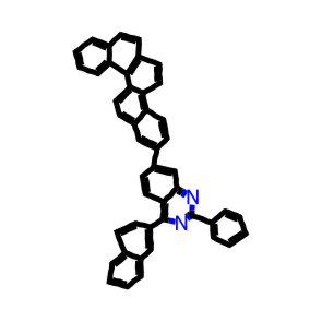 c1ccc(-c2nc(-c3ccc4ccccc4c3)c3ccc(-c4ccc5c(ccc6c5ccc5ccc7ccccc7c56)c4)cc3n2)cc1